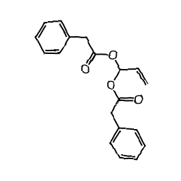 C=CC(OC(=O)Cc1ccccc1)OC(=O)Cc1ccccc1